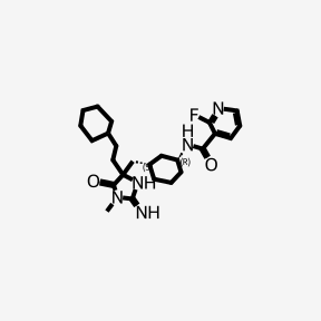 CN1C(=N)NC(CCC2CCCCC2)(C[C@H]2CCC[C@@H](NC(=O)c3cccnc3F)C2)C1=O